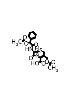 CC(=O)OCC1=C(C(=O)O)N2C(=O)[C@@H](NC(=O)C(OC(C)=O)c3ccccc3)[C@H]2SC1